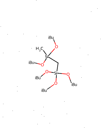 CCC(C)O[Si](C)(C[Si](OC(C)CC)(OC(C)CC)OC(C)CC)OC(C)CC